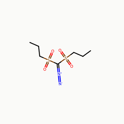 CCCS(=O)(=O)C(=[N+]=[N-])S(=O)(=O)CCC